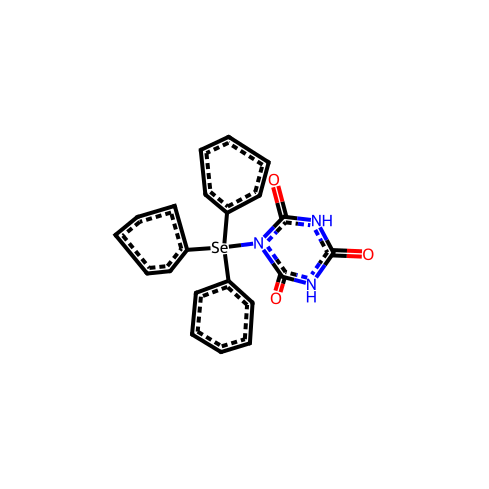 O=c1[nH]c(=O)n([Se](c2ccccc2)(c2ccccc2)c2ccccc2)c(=O)[nH]1